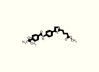 COC(=O)CCCc1ncc(-c2ccc(NC(=O)c3ccc(C(C)(C)C)cc3)cc2)s1